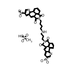 CS(=O)(=O)O.O=C1c2cccc3c2c(cc2cc([N+](=O)[O-])cnc23)C(=O)N1CCCCNCCCN1C(=O)c2cccc3c2c(cc2cc([N+](=O)[O-])cnc23)C1=O